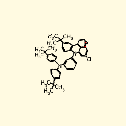 CC(C)(C)c1ccc(N(c2ccc(C(C)(C)C)cc2)c2cccc(N(c3cc(Cl)cc(Br)c3)c3ccc(C(C)(C)C)cc3-c3ccccc3)c2)cc1